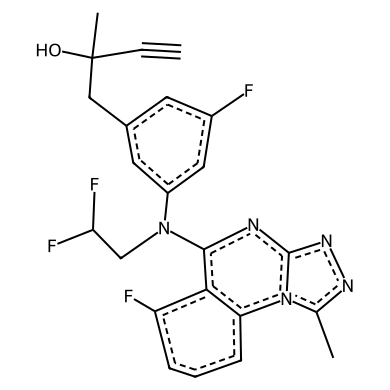 C#CC(C)(O)Cc1cc(F)cc(N(CC(F)F)c2nc3nnc(C)n3c3cccc(F)c23)c1